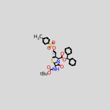 Cc1ccc(S(=O)(=O)O/C=C/C2=CSC3C(NC(=O)OC(C)(C)C)C(=O)N3C2C(=O)OC(c2ccccc2)c2ccccc2)cc1